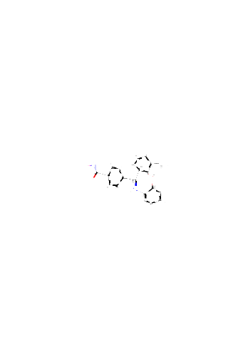 O=C(NO)c1ccc(C2=Nc3ccccc3Oc3c2cccc3C(F)(F)F)cc1